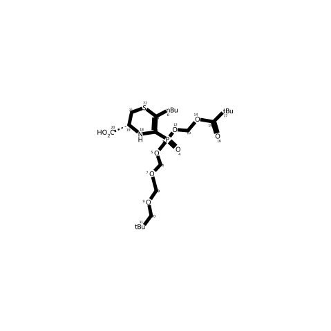 CCCCC1=C(P(=O)(OCOCOCC(C)(C)C)OCOC(=O)C(C)(C)C)N[C@H](C(=O)O)CS1